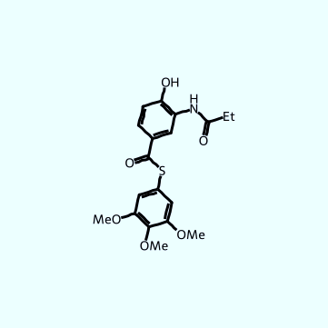 CCC(=O)Nc1cc(C(=O)Sc2cc(OC)c(OC)c(OC)c2)ccc1O